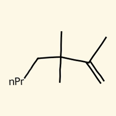 C=C(C)C(C)(C)CCCC